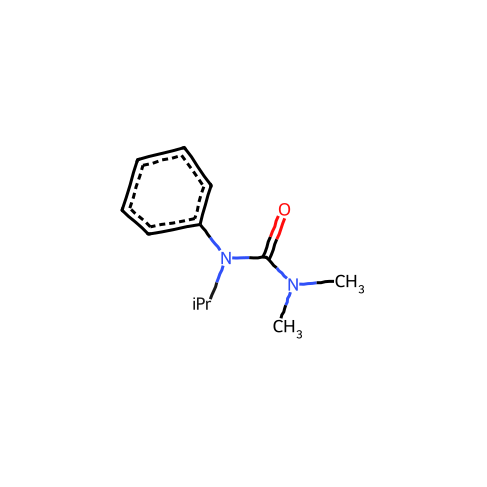 CC(C)N(C(=O)N(C)C)c1ccccc1